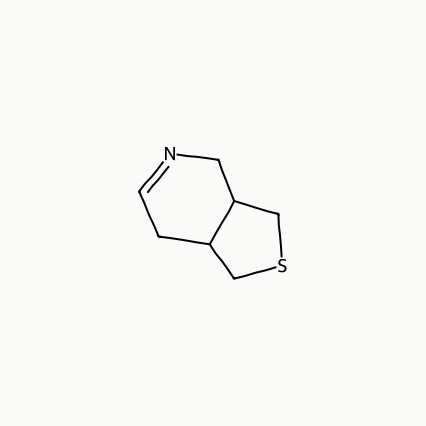 C1=NCC2CSCC2C1